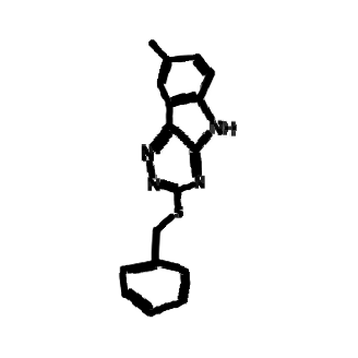 Cc1ccc2[nH]c3nc(SCc4ccccc4)nnc3c2c1